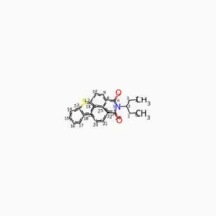 CCC(CC)n1c(=O)c2ccc3sc4ccccc4c4ccc(c1=O)c2c34